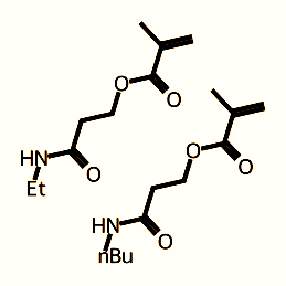 C=C(C)C(=O)OCCC(=O)NCC.C=C(C)C(=O)OCCC(=O)NCCCC